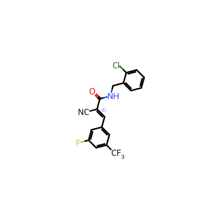 N#C/C(=C\c1cc(F)cc(C(F)(F)F)c1)C(=O)NCc1ccccc1Cl